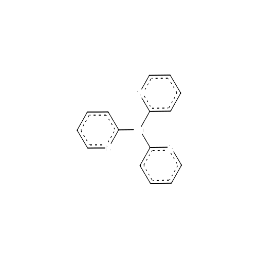 c1cc[c]([Cu]([c]2ccccn2)[c]2ccccn2)nc1